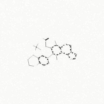 Cc1c([C@H](OC(C)(C)C)C(=O)O)c(-c2ccc3c(c2)CCCO3)c(C)c2c1ncc1ccoc12